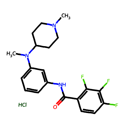 CN1CCC(N(C)c2cccc(NC(=O)c3ccc(F)c(F)c3F)c2)CC1.Cl